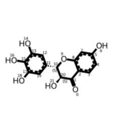 O=C1c2ccc(O)cc2O[C@@H](c2cc(O)c(O)c(O)c2)[C@@H]1O